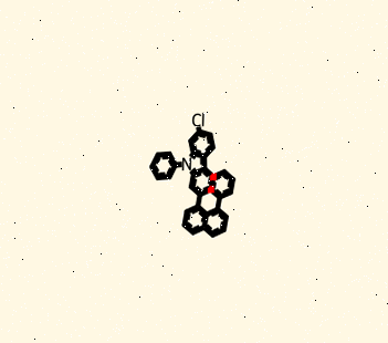 Clc1ccc2c3ccc(-c4cccc5cccc(-c6ccccc6)c45)cc3n(-c3ccccc3)c2c1